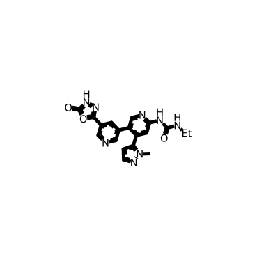 CCNC(=O)Nc1cc(-c2ccnn2C)c(-c2cncc(-c3n[nH]c(=O)o3)c2)cn1